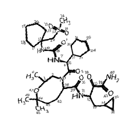 CC1CN(C(=O)[C@@H](NC(=O)NC2(CS(C)(=O)=O)CCCCC2)C2CCCCC2)C(C(=O)NC(CC2CC2)C(=O)C(N)=O)CCC(C)(C)O1